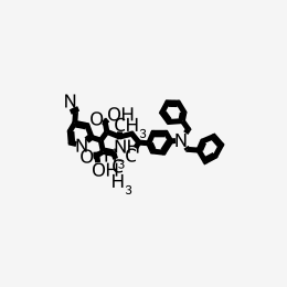 CC1=C(C(=O)O)C(c2cc(C#N)ccn2)C(C(=O)O)C(C)(CC(C)c2ccc(N(Cc3ccccc3)Cc3ccccc3)cc2)N1